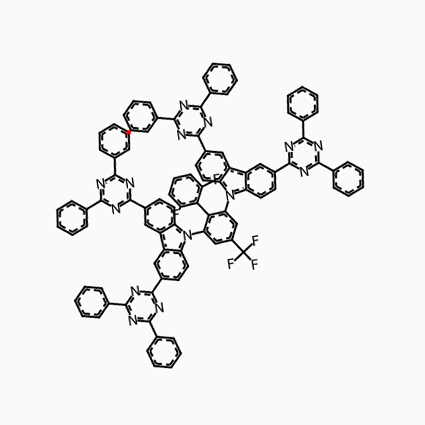 Fc1cccc(F)c1-c1c(-n2c3ccc(-c4nc(-c5ccccc5)nc(-c5ccccc5)n4)cc3c3cc(-c4nc(-c5ccccc5)nc(-c5ccccc5)n4)ccc32)cc(C(F)(F)F)cc1-n1c2ccc(-c3nc(-c4ccccc4)nc(-c4ccccc4)n3)cc2c2cc(-c3nc(-c4ccccc4)nc(-c4ccccc4)n3)ccc21